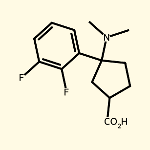 CN(C)C1(c2cccc(F)c2F)CCC(C(=O)O)C1